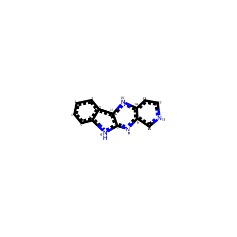 c1ccc2c(c1)[nH]c1nc3cnccc3nc12